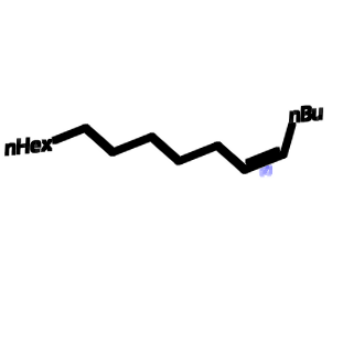 [CH2]CCC/C=C\CCCCCCCCCCC